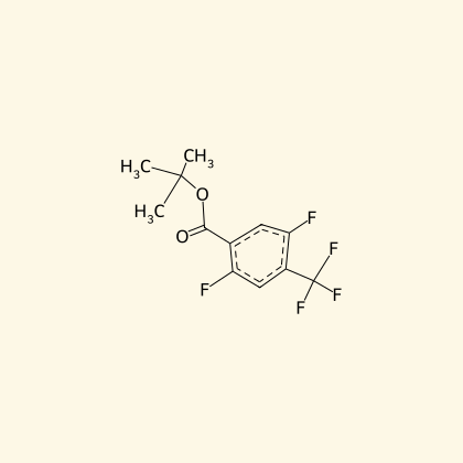 CC(C)(C)OC(=O)c1cc(F)c(C(F)(F)F)cc1F